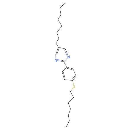 CCCCCCCCc1cnc(-c2ccc(SCCCCCCC)cc2)nc1